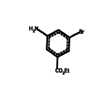 CCOC(=O)c1cc(N)cc(Br)c1